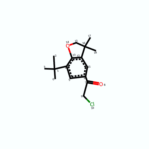 CC(C)(C)c1cc(C(=O)CCl)cc2c1OCC2(C)C